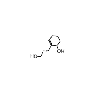 OCCCC1=CCCCC1O